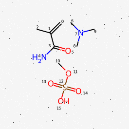 C=C(C)C(N)=O.CN(C)C.COS(=O)(=O)O